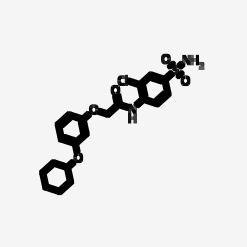 NS(=O)(=O)c1ccc(NC(=O)COc2cccc(OC3CCCCC3)c2)c(Cl)c1